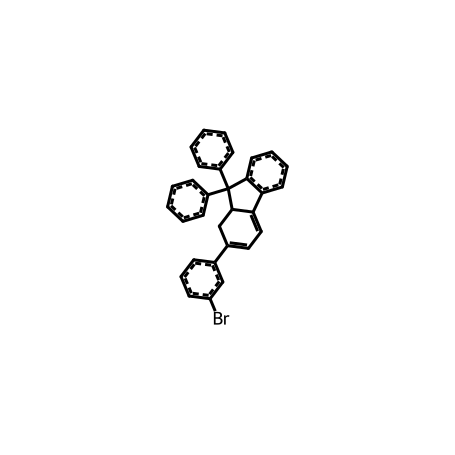 Brc1cccc(C2=CC=C3c4ccccc4C(c4ccccc4)(c4ccccc4)C3C2)c1